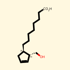 O=C(O)CCCCCCC[C@@H]1CC=C[C@H]1CO